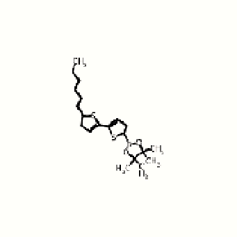 CCCCCCC1CC=C(C2=CCC(B3OC(C)(C)C(C)(C)O3)S2)S1